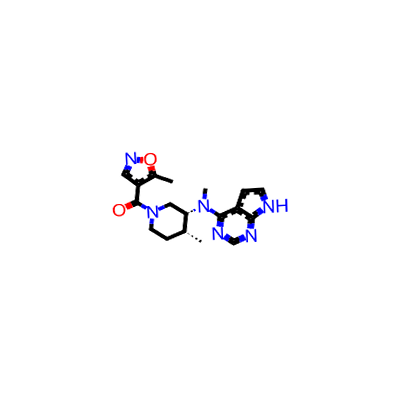 Cc1oncc1C(=O)N1CC[C@@H](C)[C@@H](N(C)c2ncnc3[nH]ccc23)C1